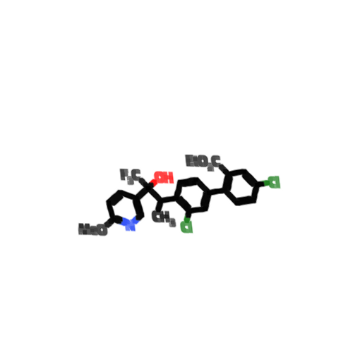 CCOC(=O)c1cc(Cl)ccc1-c1ccc(C(C)C(O)(c2ccc(OC)nc2)C(F)(F)F)c(Cl)c1